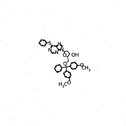 COc1ccc(C(OC[C@H]2O[C@@H](n3cnc4c(Sc5c[c]ccc5)ncnc43)C[C@@H]2O)(c2ccccc2)c2ccc(OC)cc2)cc1